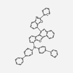 c1ccc(-c2ccc(N(c3ccc(-c4ccccc4)cc3)c3cccc4c3oc3c5ccccc5cc(-c5cccc6nc(-c7ccccc7)oc56)c43)cc2)cc1